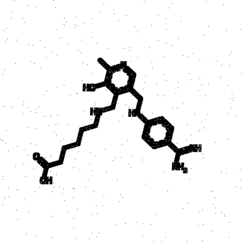 Cc1ncc(CNc2ccc(C(=N)N)cc2)c(CNCCCCCC(=O)O)c1O